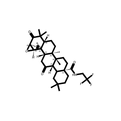 CC1(C)CC[C@]2(C(=O)NCC(F)(F)F)CC[C@]3(C)[C@@H](C(=O)C[C@@H]4[C@@]5(C)[C@H]6O[C@@]6(C#N)C(=O)C(C)(C)[C@@H]5CC[C@]43C)C2C1